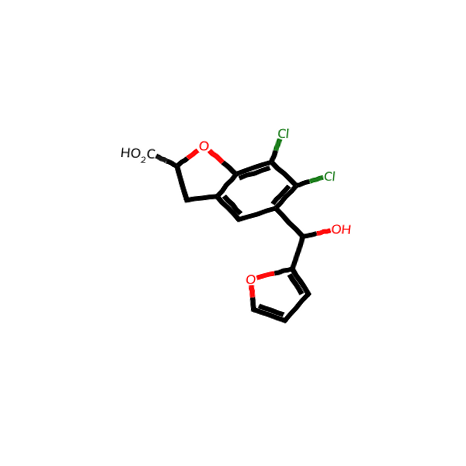 O=C(O)C1Cc2cc(C(O)c3ccco3)c(Cl)c(Cl)c2O1